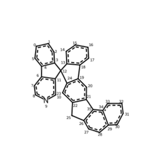 c1ccc2c(c1)-c1ccncc1C21c2ccccc2-c2cc3c(cc21)Cc1ccc2ccccc2c1-3